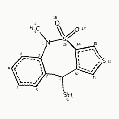 CN1c2ccccc2C(S)c2cscc2S1(=O)=O